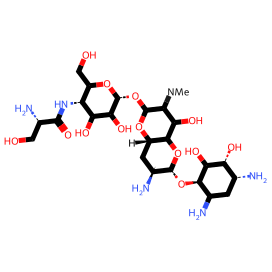 CNC1C(O[C@H]2OC(CO)[C@@H](NC(=O)[C@@H](N)CO)C(O)C2O)O[C@H]2C[C@H](N)[C@@H](O[C@@H]3C(N)C[C@@H](N)[C@@H](O)C3O)OC2C1O